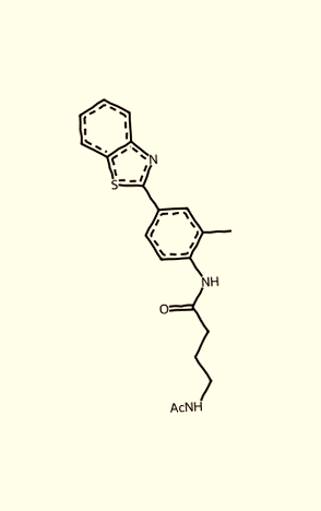 CC(=O)NCCCC(=O)Nc1ccc(-c2nc3ccccc3s2)cc1C